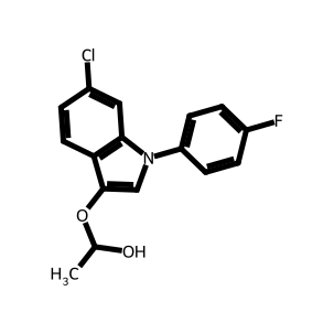 CC(O)Oc1cn(-c2ccc(F)cc2)c2cc(Cl)ccc12